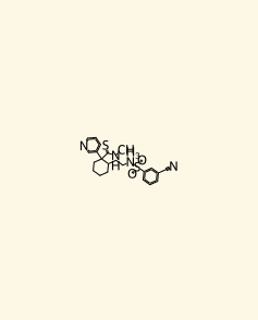 CNC(=S)C1(c2cccnc2)CCCCC1CCNS(=O)(=O)c1cccc(C#N)c1